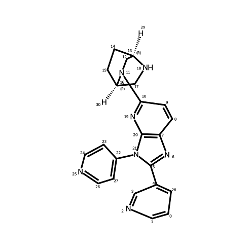 c1cncc(-c2nc3ccc(N4C[C@H]5CC[C@@H]4CN5)nc3n2-c2ccncc2)c1